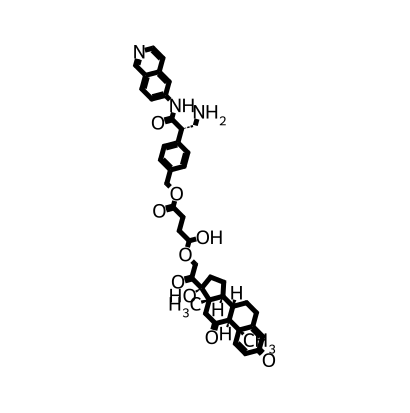 C[C@]12C=CC(=O)C=C1CC[C@@H]1[C@@H]2C(=O)C[C@@]2(C)[C@H]1CC[C@]2(O)C(=O)COC(O)CCC(=O)OCc1ccc([C@@H](CN)C(=O)Nc2ccc3cnccc3c2)cc1